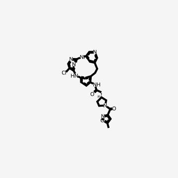 Cc1cc(C(=O)N2CC[C@H](CC(=O)Nc3ccc4cc3CCc3cncc(c3)Nc3ncc(Cl)c(n3)N4)C2)no1